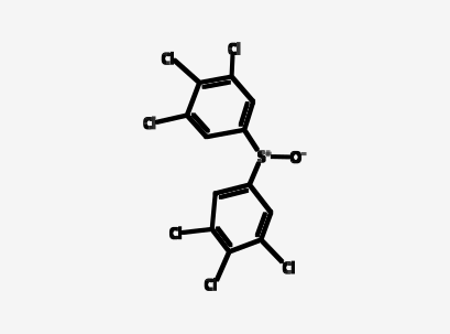 [O-][S+](c1cc(Cl)c(Cl)c(Cl)c1)c1cc(Cl)c(Cl)c(Cl)c1